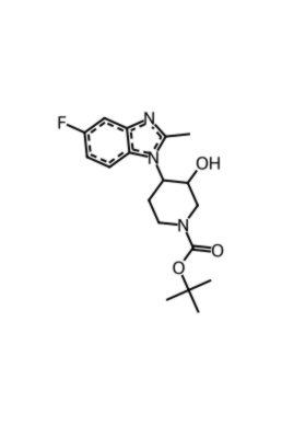 Cc1nc2cc(F)ccc2n1C1CCN(C(=O)OC(C)(C)C)CC1O